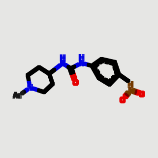 CC(=O)N1CCC(NC(=O)Nc2ccc(C[SH](=O)=O)cc2)CC1